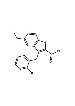 COc1ccc2sc(C(=O)O)c(Sc3ccccc3Br)c2c1